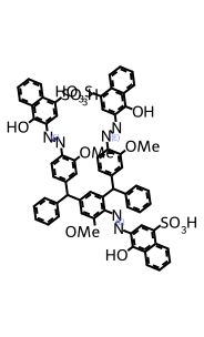 COc1cc(C(c2ccccc2)c2cc(OC)c(/N=N/c3cc(S(=O)(=O)O)c4ccccc4c3O)c(C(c3ccccc3)c3ccc(/N=N/c4cc(S(=O)(=O)O)c5ccccc5c4O)c(OC)c3)c2)ccc1/N=N/c1cc(S(=O)(=O)O)c2ccccc2c1O